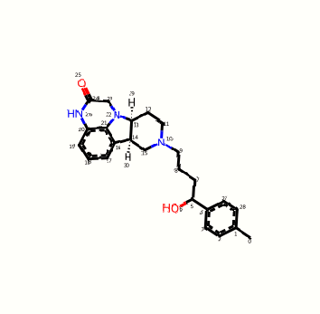 Cc1ccc(C(O)CCCN2CC[C@H]3[C@@H](C2)c2cccc4c2N3CC(=O)N4)cc1